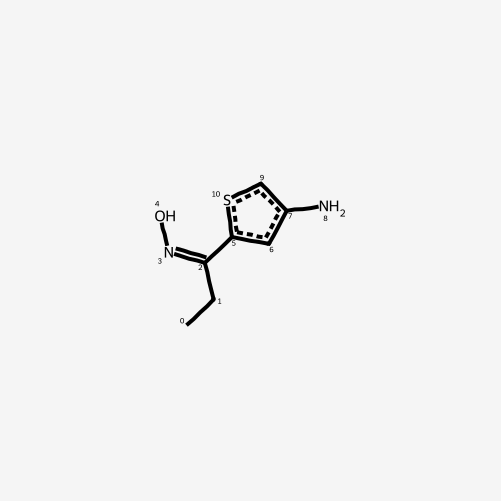 CC/C(=N/O)c1cc(N)cs1